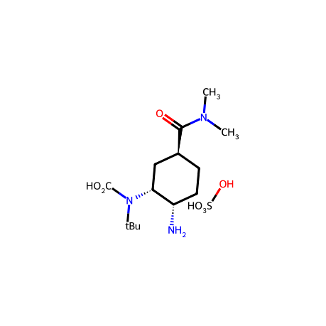 CN(C)C(=O)[C@H]1CC[C@H](N)[C@H](N(C(=O)O)C(C)(C)C)C1.O=S(=O)(O)O